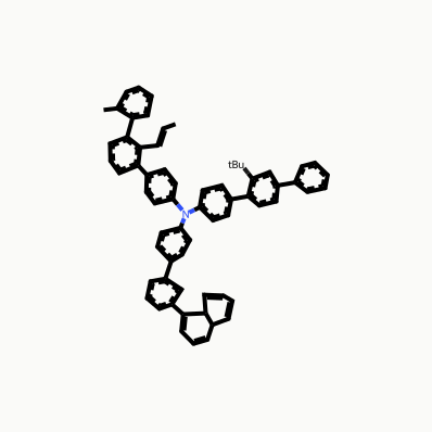 C/C=C/c1c(-c2ccc(N(c3ccc(-c4cccc(C5=CC=CC6C=CC=CC56)c4)cc3)c3ccc(-c4ccc(-c5ccccc5)cc4C(C)(C)C)cc3)cc2)cccc1-c1ccccc1C